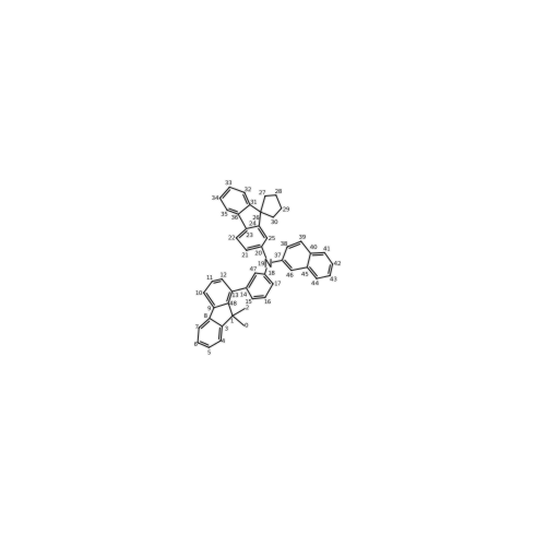 CC1(C)c2ccccc2-c2cccc(-c3cccc(N(c4ccc5c(c4)C4(CCCC4)c4ccccc4-5)c4ccc5ccccc5c4)c3)c21